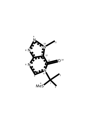 CSC(C)(C)n1cnc2nnn(C)c2c1=O